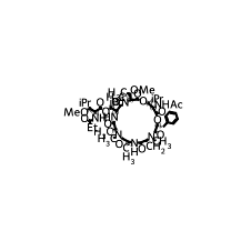 C=C1C(=O)N[C@@H](C)C(=O)N(C)[C@@H](C)C(=O)N[C@@H]([C@H](OC(=O)[C@@H](NC(=O)CC)[C@H](OC)C(C)C)C(C)C)C(=O)N(C)[C@@H]([C@@H](C)OC)C(=O)O[C@H](C(C)C)[C@H](NC(C)=O)C(=O)O[C@H](Cc2ccccc2)C(=O)N1C